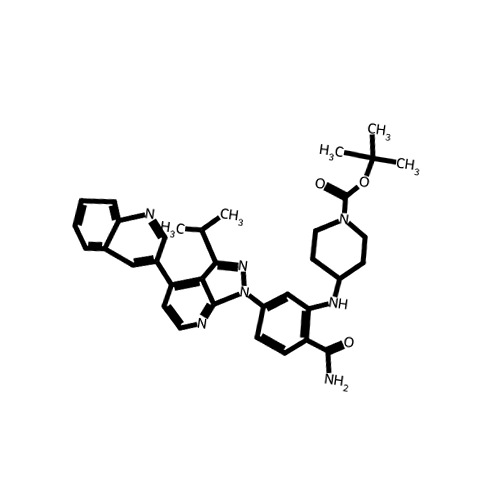 CC(C)c1nn(-c2ccc(C(N)=O)c(NC3CCN(C(=O)OC(C)(C)C)CC3)c2)c2nccc(-c3cnc4ccccc4c3)c12